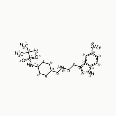 CCC(C)(C)S(=O)(=O)NC1CCC(CNCCc2c[nH]c3ccc(OC)cc23)CC1